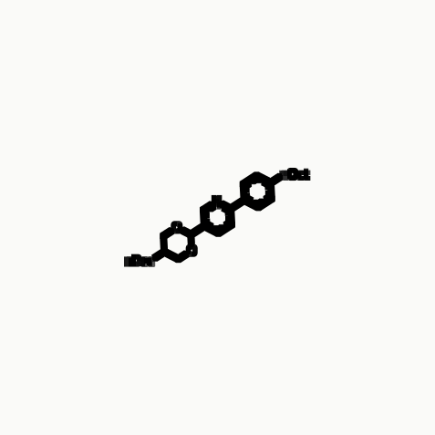 CCCCCCCCCCC1COC(c2ccc(-c3ccc(CCCCCCCC)cc3)nc2)OC1